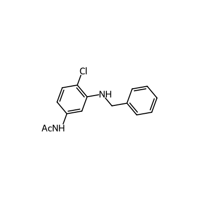 CC(=O)Nc1ccc(Cl)c(NCc2ccccc2)c1